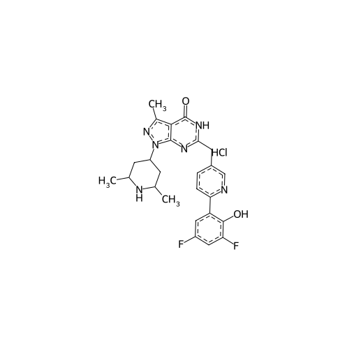 Cc1nn(C2CC(C)NC(C)C2)c2nc(Cc3ccc(-c4cc(F)cc(F)c4O)nc3)[nH]c(=O)c12.Cl